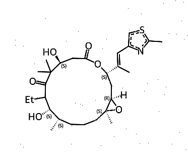 CCC1C(=O)C(C)(C)[C@@H](O)CC(=O)O[C@H](C(C)=Cc2csc(C)n2)C[C@H]2O[C@@]2(C)CCC[C@H](C)[C@@H]1O